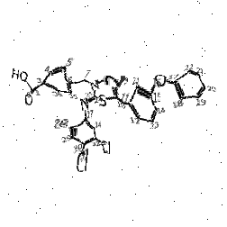 O=C(O)c1ccc(Cn2nc(-c3cccc(Oc4ccccc4)c3)sc2=Nc2ccc(Cl)c(Cl)c2)cc1